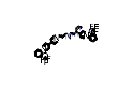 C\C=C/C(=C\C=N\CCC[n+]1ccc(-c2cc[n+](-c3ccccc3OC(F)(F)F)cc2)cc1)c1cc[n+](-c2ccccc2OC(F)(F)F)cc1